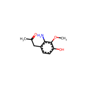 COc1c(O)ccc(CC(C)=O)c1N